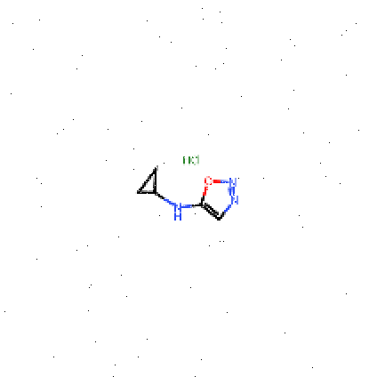 Cl.c1nnoc1NC1CC1